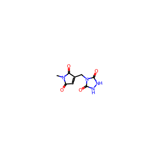 CN1C(=O)C=C(Cn2c(=O)[nH][nH]c2=O)C1=O